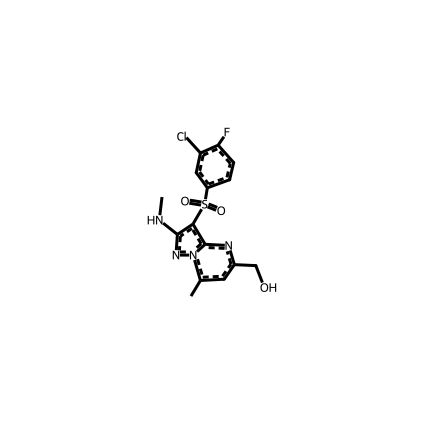 CNc1nn2c(C)cc(CO)nc2c1S(=O)(=O)c1ccc(F)c(Cl)c1